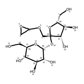 OC[C@H]1O[C@@](COC2CO2)(O[C@H]2O[C@H](CO)[C@@H](O)[C@H](O)[C@H]2O)[C@@H](O)[C@@H]1O